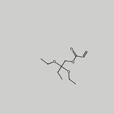 C=CC(=O)OCC(CC)(OCC)OCC